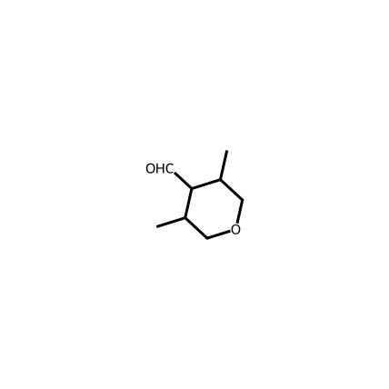 CC1COCC(C)C1C=O